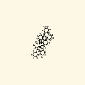 N#Cc1c(-n2c3ccccc3c3ccccc32)cccc1-n1c2ccccc2c2c(-n3c4ccccc4c4ccccc43)cccc21